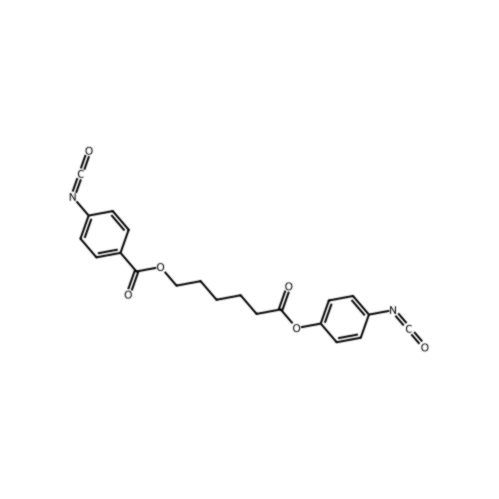 O=C=Nc1ccc(OC(=O)CCCCCOC(=O)c2ccc(N=C=O)cc2)cc1